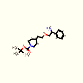 CC(C)(C)OC(=O)N1CCC(CCOCC(N)c2ccccc2)CC1